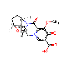 COc1c2n(cc(C(=O)O)c1=O)C[C@@H]1O[C@H]3CC[C@H]([C@H]3C)N1C2=O